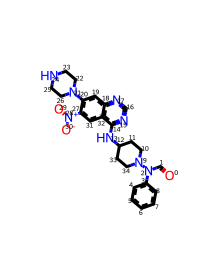 O=CN(c1ccccc1)N1CCC(Nc2ncnc3cc(N4CCNCC4)c([N+](=O)[O-])cc23)CC1